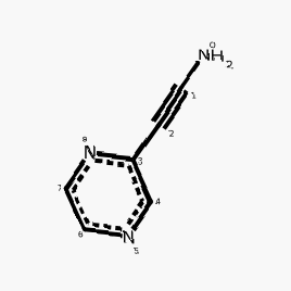 NC#Cc1cnccn1